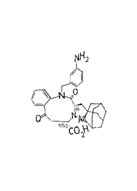 CC(=O)N1[C@H](CC23CC4CC(CC(C4)C2)C3)C(=O)N(Cc2cccc(N)c2)c2ccccc2C(=O)C[C@H]1C(=O)O